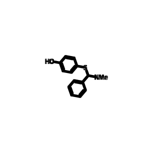 CNC(Sc1ccc(O)cc1)c1ccccc1